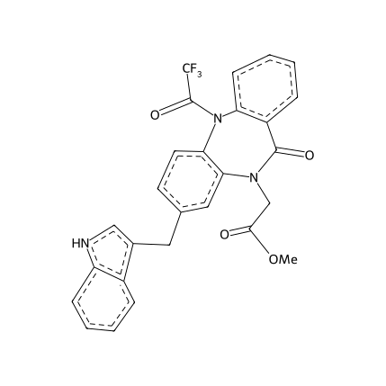 COC(=O)CN1C(=O)c2ccccc2N(C(=O)C(F)(F)F)c2ccc(Cc3c[nH]c4ccccc34)cc21